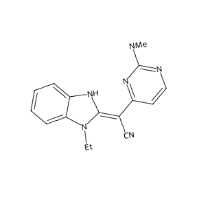 CCN1/C(=C(\C#N)c2ccnc(NC)n2)Nc2ccccc21